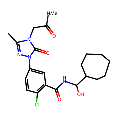 CNC(=O)Cn1c(C)nn(-c2ccc(Cl)c(C(=O)NC(O)C3CCCCCC3)c2)c1=O